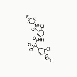 O=C(Nc1ccc(F)nc1)c1cc(NC(=O)C2C(c3ccc(OC(F)(F)F)c(Cl)c3)C2(Cl)Cl)ccc1Cl